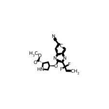 C=CC(F)(F)c1nc2ccc(C#N)cc2nc1O[C@H]1CN[C@H](C(=O)OC)C1